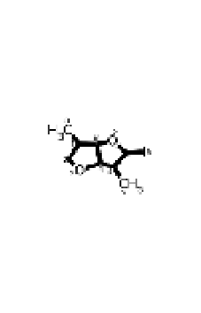 CC1COC2C(C)C(I)OC12